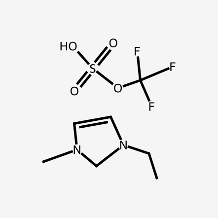 CCN1C=CN(C)C1.O=S(=O)(O)OC(F)(F)F